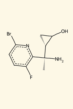 C[C@](N)(c1nc(Br)ccc1F)[C@@H]1CC1O